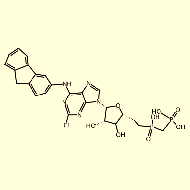 O=P(O)(O)CP(=O)(O)CC[C@H]1O[C@@H](n2cnc3c(Nc4ccc5c(c4)-c4ccccc4C5)nc(Cl)nc32)[C@@H](O)C1O